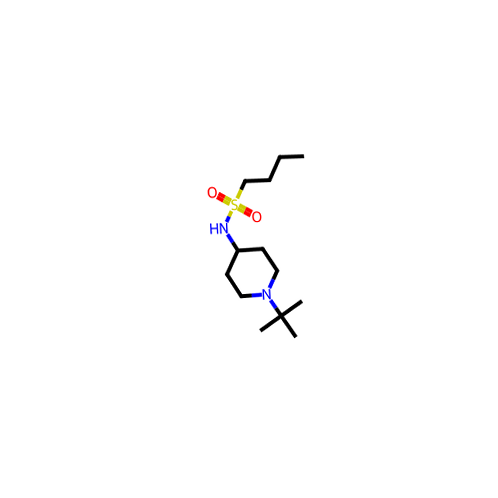 CCCCS(=O)(=O)NC1CCN(C(C)(C)C)CC1